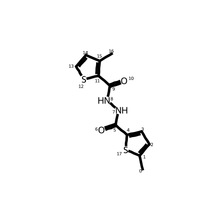 Cc1ccc(C(=O)NNC(=O)c2sccc2C)s1